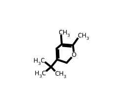 CC1=C(C)OCC(C(C)(C)C)=C1